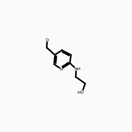 [O]Cc1ccc(NCCO)nc1